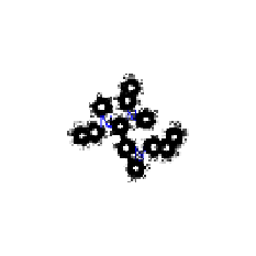 c1ccc(N(c2cc(-c3ccc4c5ccccc5n(-c5ccc6c(ccc7ccccc76)c5)c4c3)cc(N(c3ccccc3)c3ccc4ccccc4c3)c2)c2ccc3ccccc3c2)cc1